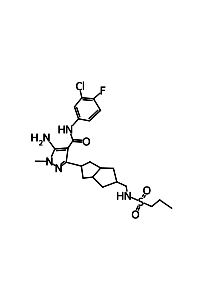 CCCS(=O)(=O)NCC1CC2CC(c3nn(C)c(N)c3C(=O)Nc3ccc(F)c(Cl)c3)CC2C1